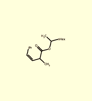 CCCCCCC(C)OC(=O)C(C)/C=C\C(C)C